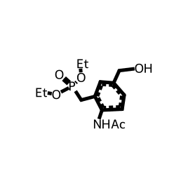 CCOP(=O)(Cc1cc(CO)ccc1NC(C)=O)OCC